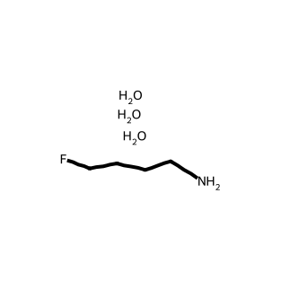 NCCCCF.O.O.O